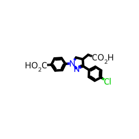 O=C(O)CC1CN(c2ccc(C(=O)O)cc2)N=C1c1ccc(Cl)cc1